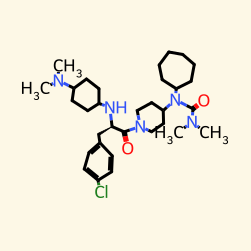 CN(C)C(=O)N(C1CCCCCC1)C1CCN(C(=O)[C@@H](Cc2ccc(Cl)cc2)NC2CCC(N(C)C)CC2)CC1